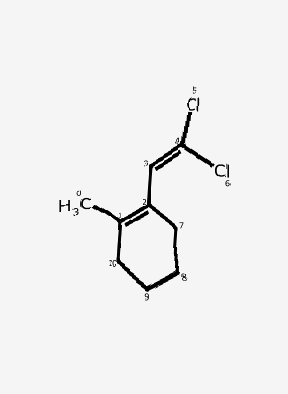 CC1=C(C=C(Cl)Cl)CCCC1